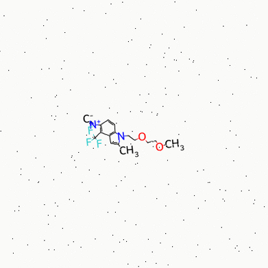 [C-]#[N+]c1ccc2c(cc(C)n2CCOCCOC)c1C(F)(F)F